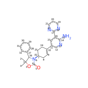 CC1(C)OC(=O)N([C@@H]2CC=C(c3cnc(N)c(-c4ncccn4)c3)CC2)C1c1ccccc1